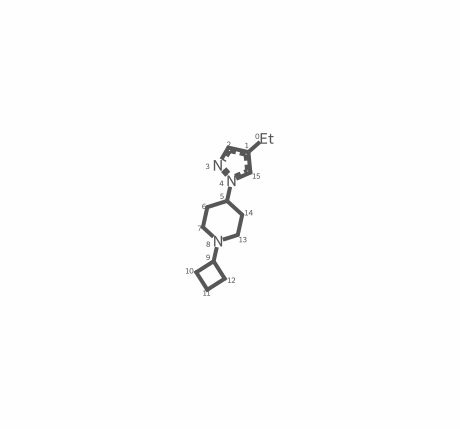 CCc1cnn(C2CCN(C3CCC3)CC2)c1